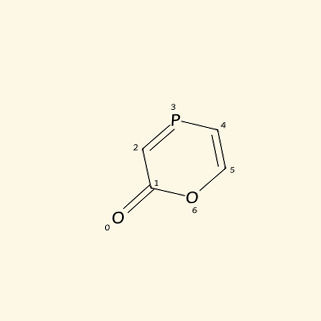 O=c1cpcco1